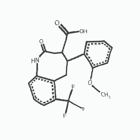 COc1ccccc1C1Cc2c(cccc2C(F)(F)F)NC(=O)C1C(=O)O